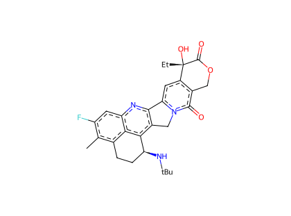 CC[C@@]1(O)C(=O)OCc2c1cc1n(c2=O)Cc2c-1nc1cc(F)c(C)c3c1c2[C@@H](NC(C)(C)C)CC3